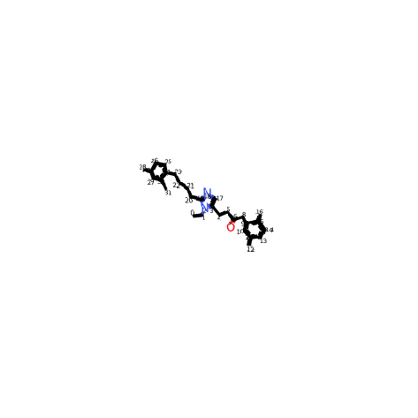 CCn1c(CCC(=O)Cc2cc(C)ccc2C)cnc1CCCCc1ccc(C)cc1C